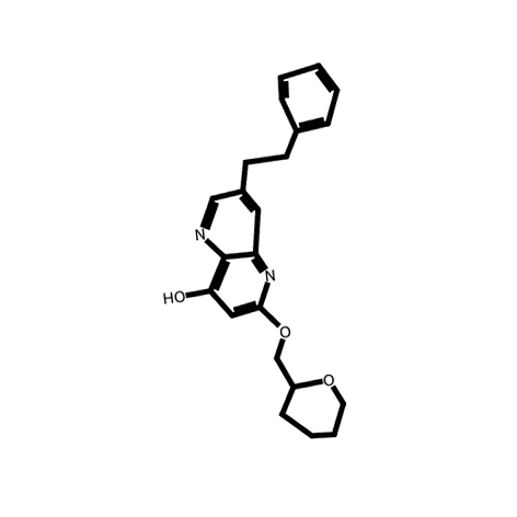 Oc1cc(OCC2CCCCO2)nc2cc(CCc3ccccc3)cnc12